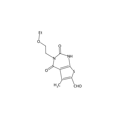 CCOCCn1c(=O)[nH]c2sc(C=O)c(C)c2c1=O